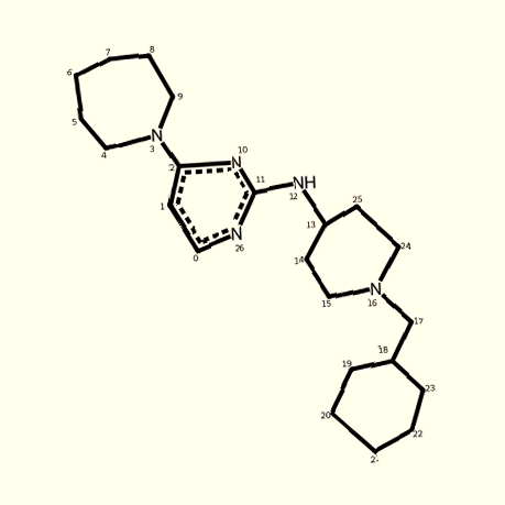 c1cc(N2CCCCCC2)nc(NC2CCN(CC3CCCCC3)CC2)n1